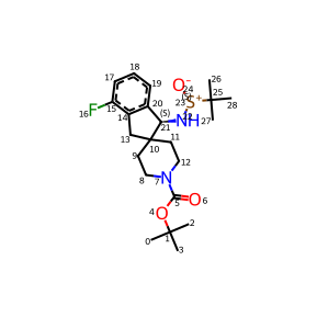 CC(C)(C)OC(=O)N1CCC2(CC1)Cc1c(F)cccc1[C@H]2N[S@+]([O-])C(C)(C)C